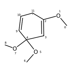 COC1=CC(OC)(OC)C=C[CH]1